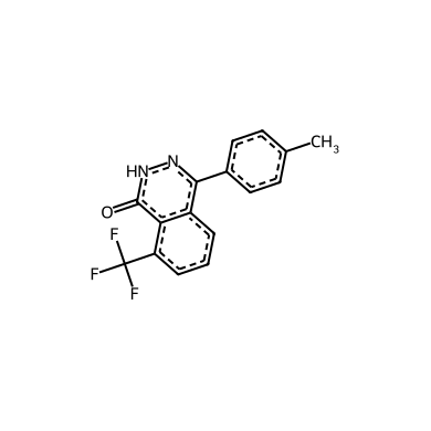 Cc1ccc(-c2n[nH]c(=O)c3c(C(F)(F)F)cccc23)cc1